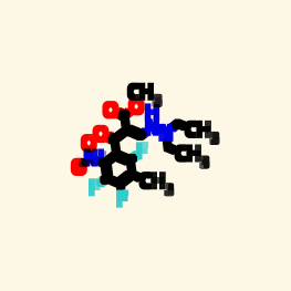 CCN(CC)NC=C(C(=O)OC)C(=O)c1c(F)c(C)c(F)c(F)c1[N+](=O)[O-]